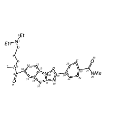 CCN(CC)CCCN(C)C(=O)c1ccc2c(c1)sc1nc(-c3ccc(C(=O)NC)cc3)cn12